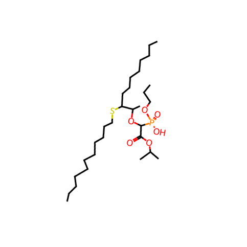 CCCCCCCCCCCSC(CCCCCCCC)C(C)OC(C(=O)OC(C)C)P(=O)(O)OCCC